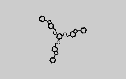 c1ccc(C2Cc3cc(COc4cc(OCc5ccc6c(c5)CC6c5ccccc5)cc(OCc5ccc6c(c5)CC6c5ccccc5)c4)ccc32)cc1